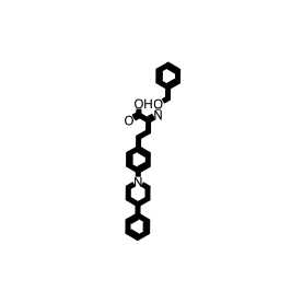 O=C(O)/C(CCc1ccc(N2CCC(c3ccccc3)CC2)cc1)=N\OCc1ccccc1